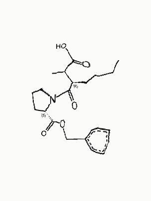 CCCC[C@@H](C(=O)N1CCC[C@H]1C(=O)OCc1ccccc1)C(C)C(=O)O